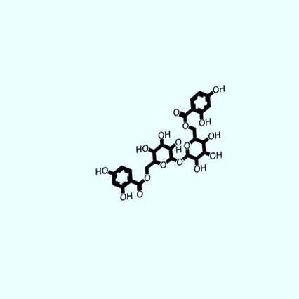 O=C(OCC1OC(OC2OC(COC(=O)c3ccc(O)cc3O)C(O)C(O)C2O)C(O)C(O)C1O)c1ccc(O)cc1O